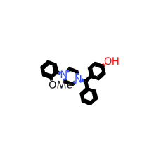 COc1ccccc1N1CCN(C(c2ccccc2)c2ccc(O)cc2)CC1